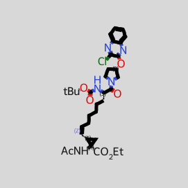 CCOC(=O)[C@@]1(NC(C)=O)C[C@H]1/C=C\CCCCC[C@H](NC(=O)OC(C)(C)C)C(=O)N1CC[C@@H](Oc2nc3ccccc3nc2Cl)C1